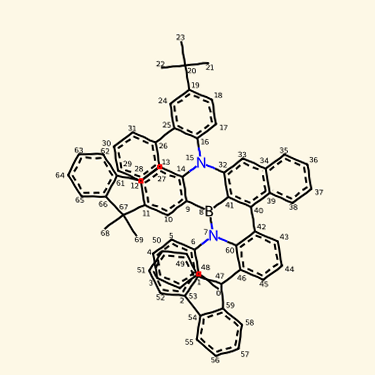 Cc1ccccc1N1B2c3cc4c(cc3N(c3ccc(C(C)(C)C)cc3-c3ccccc3)c3cc5ccccc5c(c32)-c2cccc(C3c5ccccc5-c5ccccc53)c21)-c1ccccc1C4(C)C